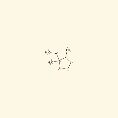 CCC1(C)OCCC1C